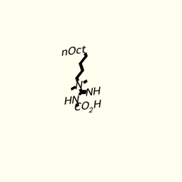 CCCCCCCCCCCC[N+](C)(C)C(=N)NC(=O)O